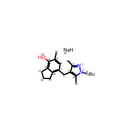 CCCCn1nc(C)c(Cc2cc(C)c(O)c3c2CCC3)c1C.[NaH]